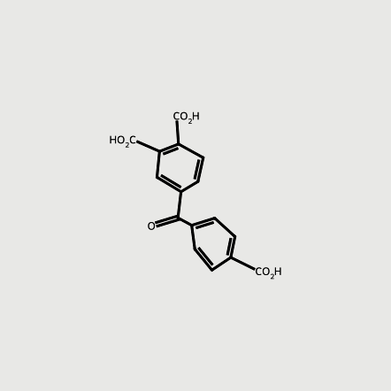 O=C(O)c1ccc(C(=O)c2ccc(C(=O)O)c(C(=O)O)c2)cc1